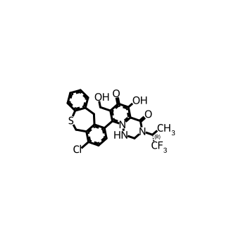 C[C@@H](N1CNn2c(c(O)c(=O)c(CO)c2-c2ccc(Cl)c3c2Cc2ccccc2SC3)C1=O)C(F)(F)F